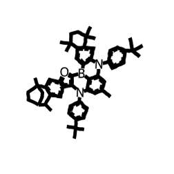 Cc1cc2c3c(c1)N(c1ccc(C(C)(C)C)cc1)c1c(oc4cc5c(cc14)C(C)C1CCC5(C)CC1)B3c1cc3c(cc1N2c1ccc(C(C)(C)C)cc1)C(C)(C)CCC3(C)C